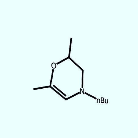 CCCCN1C=C(C)OC(C)C1